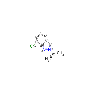 CC(C)n1cc2cccc(Cl)c2n1